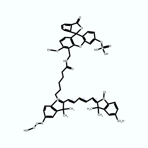 CCOc1ccc2c(c1CNC(=O)CCCCC[N+]1=C(/C=C/C=C/C=C3/N(CC)c4ccc(S(=O)(=O)O)cc4C3(C)C)C(C)(C)c3cc(SOOO)ccc31)Oc1cc(OP(=O)(O)O)ccc1C21OC(=O)c2ccccc21